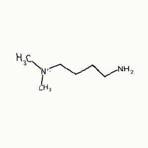 C[N+](C)CCCCN